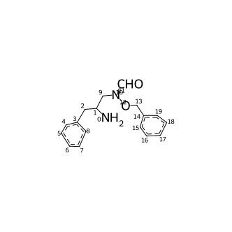 NC(Cc1ccccc1)CN(C=O)OCc1ccccc1